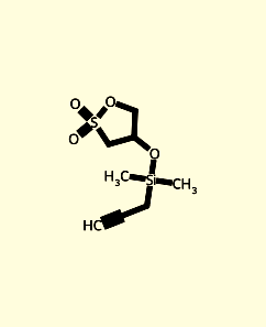 C#CC[Si](C)(C)OC1COS(=O)(=O)C1